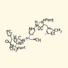 C#CC/C(=C\N=C(/C)NC(=O)C(C(C)CCC)N(C)C(=O)Cc1ccccc1)c1ccc(NC(=O)CN(CCCCC)C(=O)CC(/C=C\CC)=C/C=C)nc1